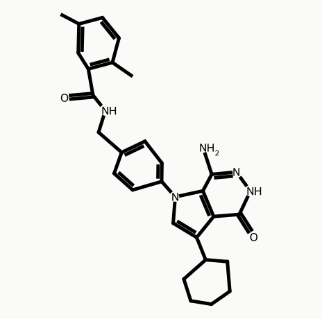 Cc1ccc(C)c(C(=O)NCc2ccc(-n3cc(C4CCCCC4)c4c(=O)[nH]nc(N)c43)cc2)c1